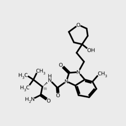 Cc1cccc2c1n(CCC1(O)CCOCC1)c(=O)n2C(=O)N[C@H](C(N)=O)C(C)(C)C